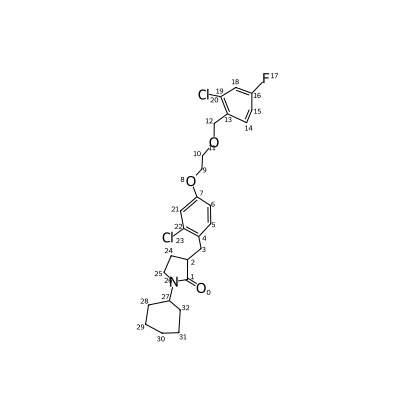 O=C1C(Cc2ccc(OCCOCc3ccc(F)cc3Cl)cc2Cl)CCN1C1CCCCC1